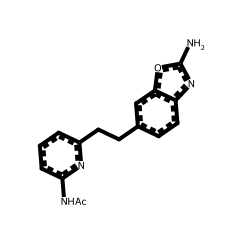 CC(=O)Nc1cccc(CCc2ccc3nc(N)oc3c2)n1